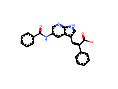 O=C(O)C(=Cc1c[nH]c2ncc(NC(=O)c3ccccc3)cc12)c1ccccc1